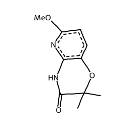 COc1ccc2c(n1)NC(=O)C(C)(C)O2